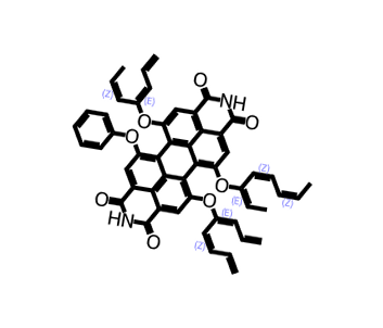 C=C/C=C\C(=C/C=C)Oc1cc2c3c(cc(Oc4ccccc4)c4c5c(OC(/C=C\C)=C/C=C)cc6c7c(cc(OC(/C=C\C=C/C)=C/C)c(c1c34)c75)C(=O)NC6=O)C(=O)NC2=O